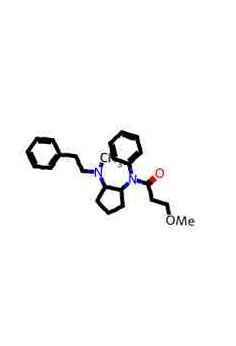 COCCC(=O)N(c1ccccc1)C1CCCC1N(C)CCc1ccccc1